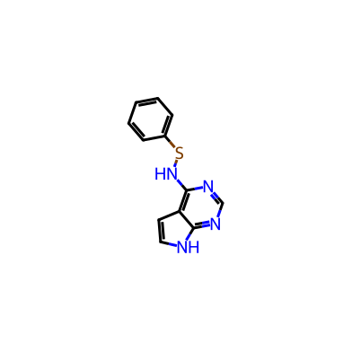 c1ccc(SNc2ncnc3[nH]ccc23)cc1